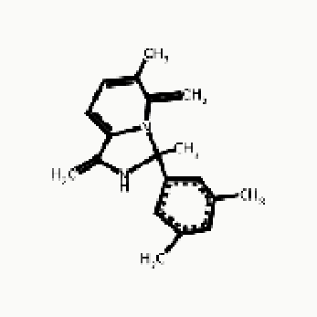 C=C1NC(C)(c2cc(C)cc(C)c2)N2C(=C)C(C)=CC=C12